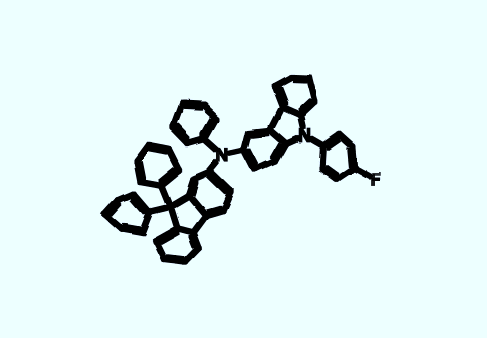 Fc1ccc(-n2c3ccccc3c3cc(N(c4ccccc4)c4ccc5c(c4)C(c4ccccc4)(c4ccccc4)c4ccccc4-5)ccc32)cc1